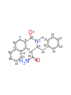 CN(C(=O)c1ccc2ccccc2c1)C(CC(N)=O)Cc1ccccc1